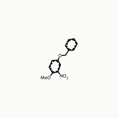 COc1ccc(OCc2ccccc2)cc1[N+](=O)[O-]